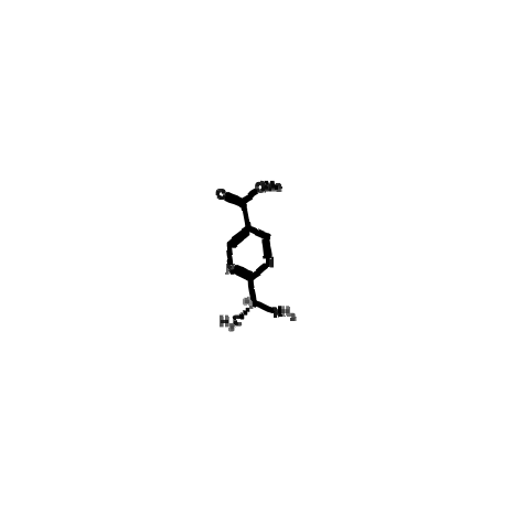 COC(=O)c1cnc([C@@H](C)N)nc1